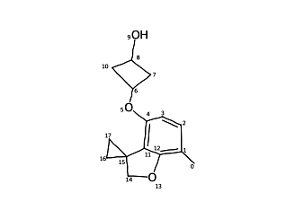 Cc1ccc(OC2CC(O)C2)c2c1OCC21CC1